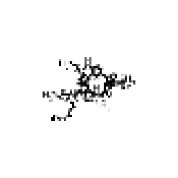 CCCCCCCCCCNCCC(=O)N[C@@H](CCCCN)C(=O)N(C)[C@@H]1C(=O)N[C@@H](C)C(=O)N[C@H](C(=O)N[C@@H](C)C(C)=O)Cc2ccc(O)c(c2)-c2cc1ccc2OCCN